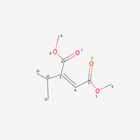 COC(=O)/C=C(\C(=O)OC)C(C)C